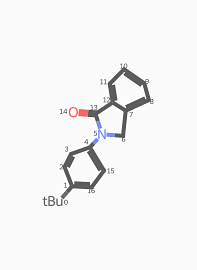 CC(C)(C)c1ccc(N2Cc3ccccc3C2=O)cc1